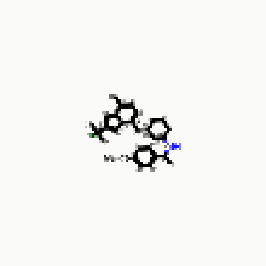 COc1ccc(C(C)N[C@@H]2CCC[C@H](CC3=CC=C(C)C4=CC(C(C)(C)F)=CC34)C2)cc1